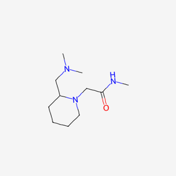 CNC(=O)CN1CCCCC1CN(C)C